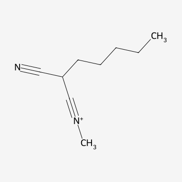 CCCCCC(C#N)C#[N+]C